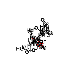 COc1ccc(C[C@H](NC(=O)[C@@H](NC(=O)[C@@H]2[C@@H]3CCN2C(=O)[C@H](Cc2c[nH]c4ccc(F)cc24)NC(=O)[C@@H](NC(=O)[C@@H](CNC(=O)OC(C)(C)C)NC(=O)[C@H](C)NC(=O)OCc2ccccc2)Cc2cccc(c2)CNC(=O)CO3)[C@@H](C)OC(C)(C)C)C(=O)N2CCC[C@@]2(C)C(=O)NCCc2ccc(CNC(=O)CCC(=O)O)cc2)cc1